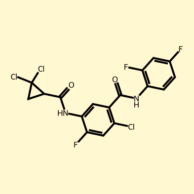 O=C(Nc1ccc(F)cc1F)c1cc(NC(=O)C2CC2(Cl)Cl)c(F)cc1Cl